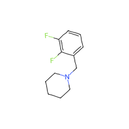 Fc1cccc(CN2CCCCC2)c1F